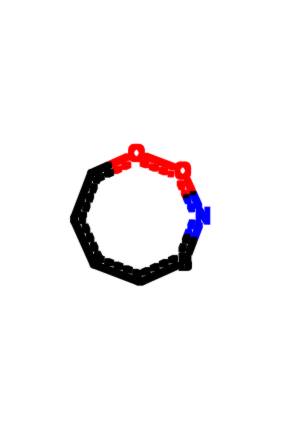 b1ccccoon1